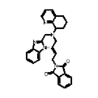 O=C1c2ccccc2C(=O)N1CC=CCN(Cc1nc2ccccc2[nH]1)C1CCCc2cccnc21